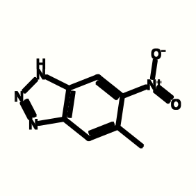 Cc1cc2nn[nH]c2cc1[N+](=O)[O-]